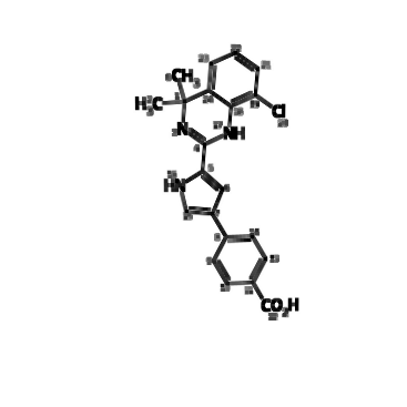 CC1(C)N=C(c2cc(-c3ccc(C(=O)O)cc3)c[nH]2)Nc2c(Cl)cccc21